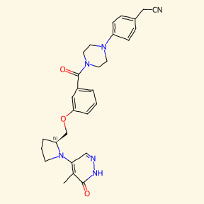 Cc1c(N2CCC[C@H]2COc2cccc(C(=O)N3CCN(c4ccc(CC#N)cc4)CC3)c2)cn[nH]c1=O